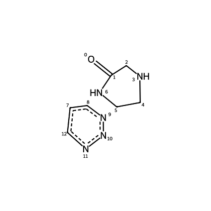 O=C1CNCCN1.c1cnnnc1